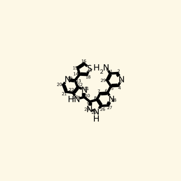 Nc1cncc(-c2cc3c(-c4nc5c(-c6ccsc6)nccc5[nH]4)n[nH]c3cn2)c1